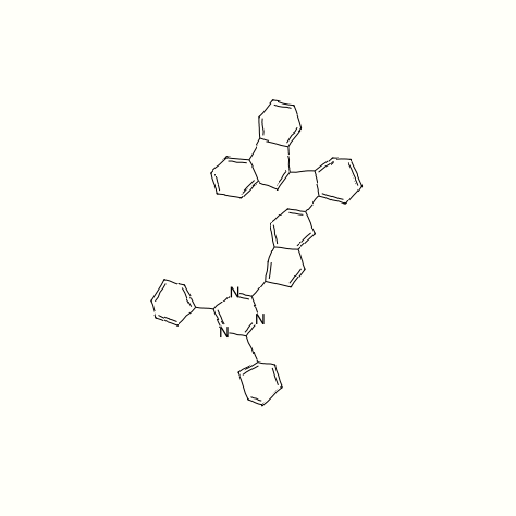 c1ccc(-c2nc(-c3ccccc3)nc(-c3ccc4cc(-c5ccccc5-c5cc6ccccc6c6ccccc56)ccc4c3)n2)cc1